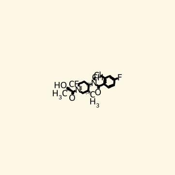 C[C@H]1CN(C(=O)[C@@](C)(O)C(F)(F)F)CC[C@H]1N(C)C(=O)c1ccc(F)cc1Cl